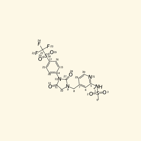 CS(=O)(=O)Nc1cc(CN2CC(=O)N(c3ccc(S(=O)(=O)C(F)(F)F)cc3)C2=O)ccn1